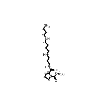 C=C(NCCCNCCCCNCCCN)C1CCCN1C(=O)OC(C)(C)C